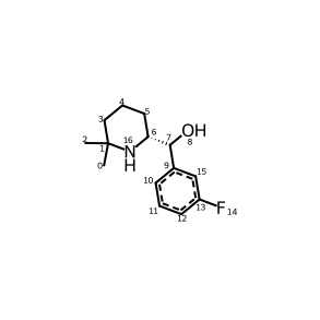 CC1(C)CCC[C@H](C(O)c2cccc(F)c2)N1